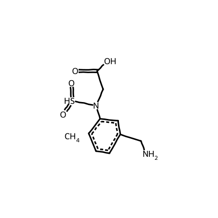 C.NCc1cccc(N(CC(=O)O)[SH](=O)=O)c1